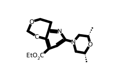 CCOC(=O)c1cc(N2C[C@@H](C)O[C@@H](C)C2)nc2c1CCOCC2